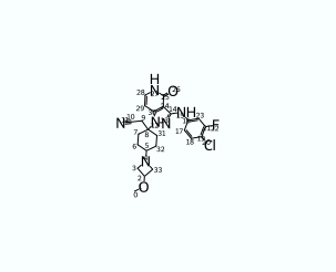 COC1CN(C2CCC(CC#N)(n3nc(Nc4ccc(Cl)c(F)c4)c4c(=O)[nH]ccc43)CC2)C1